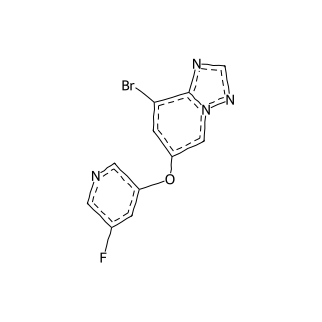 Fc1cncc(Oc2cc(Br)c3ncnn3c2)c1